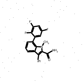 CC(C)c1c(C(N)=O)n(C)c2c(-c3cc(F)cc(F)c3F)cccc12